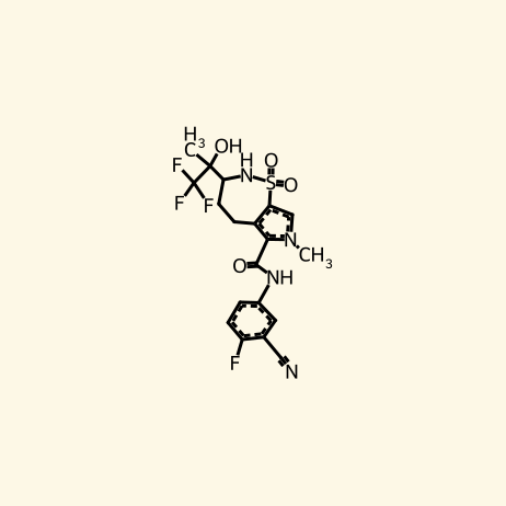 Cn1cc2c(c1C(=O)Nc1ccc(F)c(C#N)c1)CCC(C(C)(O)C(F)(F)F)NS2(=O)=O